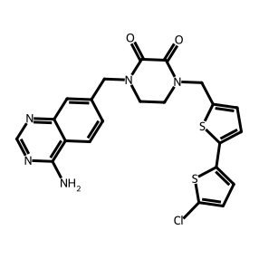 Nc1ncnc2cc(CN3CCN(Cc4ccc(-c5ccc(Cl)s5)s4)C(=O)C3=O)ccc12